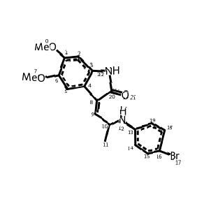 COc1cc2c(cc1OC)C(=CC(C)Nc1ccc(Br)cc1)C(=O)N2